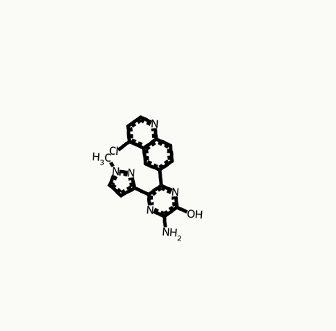 Cn1ccc(-c2nc(N)c(O)nc2-c2ccc3nccc(Cl)c3c2)n1